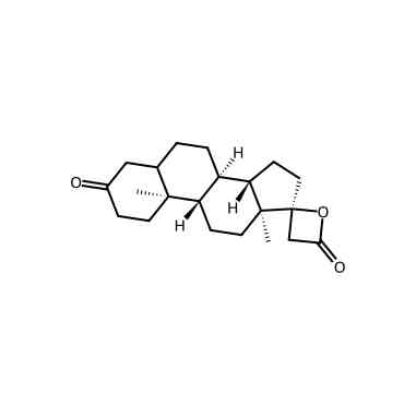 C[C@]12CCC(=O)CC1CC[C@@H]1[C@@H]2CC[C@@]2(C)[C@H]1CC[C@]21CC(=O)O1